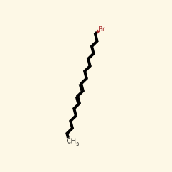 CCCCCCC=CC=CCCCCCCCCBr